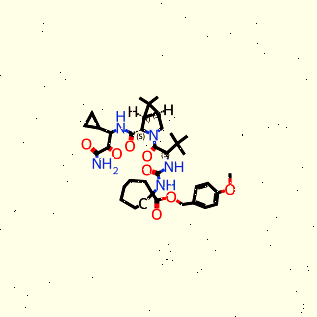 COc1ccc(COC(=O)C2(NC(=O)N[C@H](C(=O)N3C[C@H]4[C@@H]([C@H]3C(=O)NC(C(=O)C(N)=O)C3CC3)C4(C)C)C(C)(C)C)CCCCCC2)cc1